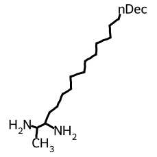 CCCCCCCCCCCCCCCCCCCCCCC(N)C(C)N